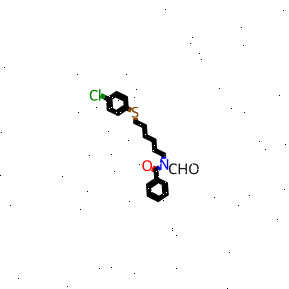 O=CN(CCCCCCSc1ccc(Cl)cc1)C(=O)c1ccccc1